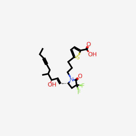 CCC#CCC(C)[C@@H](O)/C=C/[C@H]1CC(F)(F)C(=O)N1CCCc1ccc(C(=O)O)s1